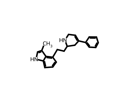 Cc1c[nH]c2cccc(CCC3CC(c4ccccc4)=CCN3)c12